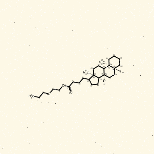 CCCOCCOC(=O)CCCC1CCC2[C@@H]3CC[C@@H]4CCCC[C@]4(C)C3CC[C@]12C